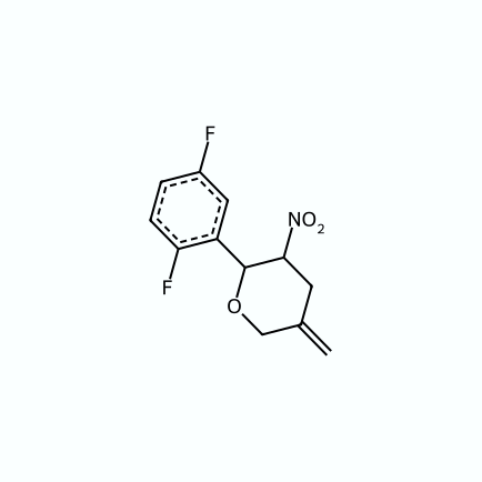 C=C1COC(c2cc(F)ccc2F)C([N+](=O)[O-])C1